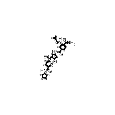 CCC1CC(NC(=O)c2ccc(C(N)=O)c(NCC3CC3)c2)CC1N(CC)c1ccc(C(=O)NC2CCCC2)cn1